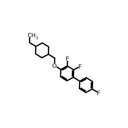 CCC1CCC(COc2ccc(-c3ccc(F)cc3)c(F)c2F)CC1